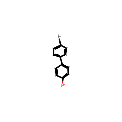 Oc1ccc(-c2[c]cc(C(F)(F)F)cc2)cc1